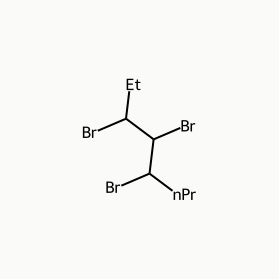 [CH2]CCC(Br)C(Br)C(Br)C[CH2]